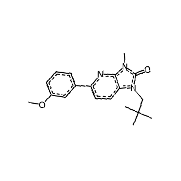 COc1cccc(-c2ccc3c(n2)n(C)c(=O)n3CC(C)(C)C)c1